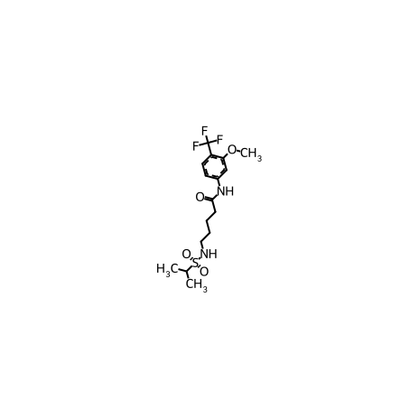 COc1cc(NC(=O)CCCCNS(=O)(=O)C(C)C)ccc1C(F)(F)F